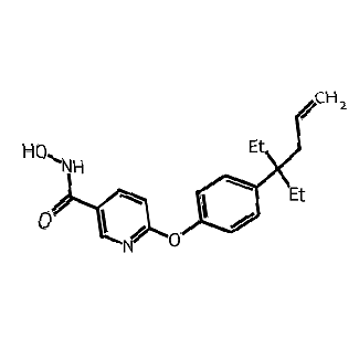 C=CCC(CC)(CC)c1ccc(Oc2ccc(C(=O)NO)cn2)cc1